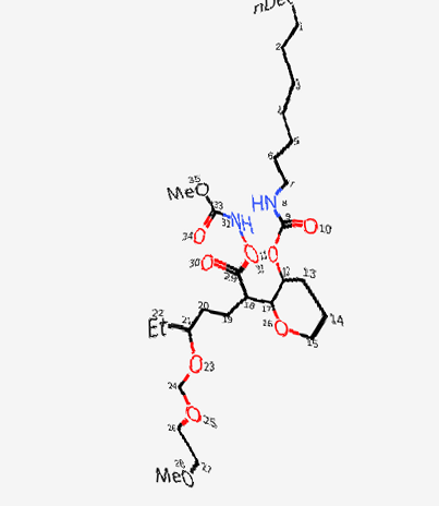 CCCCCCCCCCCCCCCCCNC(=O)OC1CCCOC1C(CCC(CC)OCOCCOC)C(=O)ONC(=O)OC